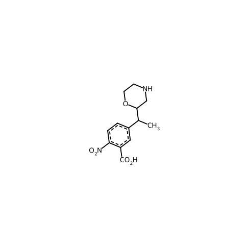 CC(c1ccc([N+](=O)[O-])c(C(=O)O)c1)C1CNCCO1